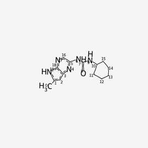 Cc1cc2nc(NC(=O)NC3CCCCC3)cnc2[nH]1